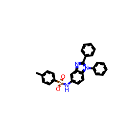 Cc1ccc(S(=O)(=O)Nc2ccc3c(c2)nc(-c2ccccc2)n3-c2ccccc2)cc1